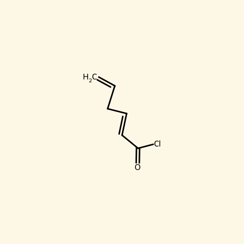 C=CC/C=C/C(=O)Cl